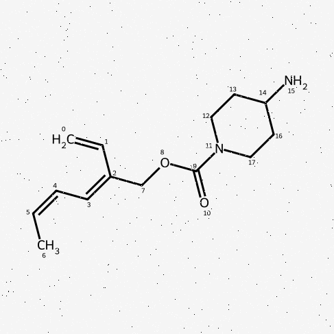 C=C/C(=C\C=C/C)COC(=O)N1CCC(N)CC1